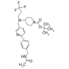 CC(=O)NCc1ccc(-c2ccc(CN(CCC(F)(F)F)C3CCN(C(=O)OC(C)(C)C)CC3)cn2)cc1